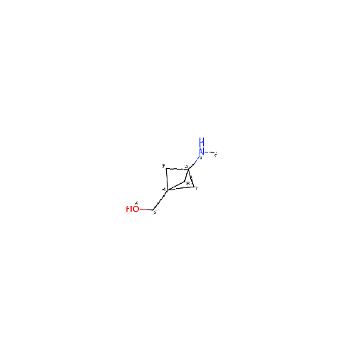 CNC12CC(CO)(C1)C2